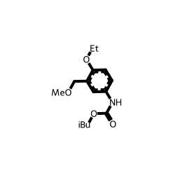 CCOc1ccc(NC(=O)OC(C)CC)cc1COC